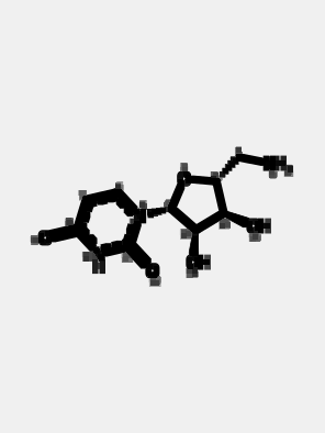 NC[C@H]1O[C@@H](n2ccc(=O)[nH]c2=O)[C@H](O)[C@@H]1O